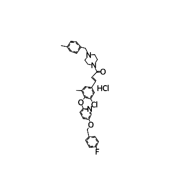 Cc1ccc(CN2CCN(C(=O)C=Cc3cc(C)c(Oc4ccc(OCc5ccc(F)cc5)cn4)c(Cl)c3)CC2)cc1.Cl